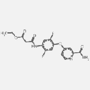 CCOC(=O)CC(=O)Nc1cc(F)c(Oc2ccnc(C(N)=O)c2)cc1F